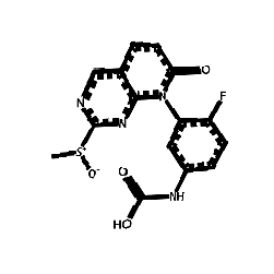 C[S+]([O-])c1ncc2ccc(=O)n(-c3cc(NC(=O)O)ccc3F)c2n1